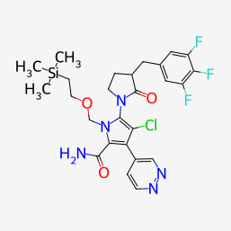 C[Si](C)(C)CCOCn1c(C(N)=O)c(-c2ccnnc2)c(Cl)c1N1CCC(Cc2cc(F)c(F)c(F)c2)C1=O